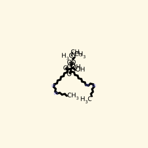 CCCCC/C=C\C/C=C\CCCCCCCC(=O)C(OP(=O)([O-])OCC[N+](C)(C)C)(C(=O)CCCCCCC/C=C\C/C=C\CCCCC)[C@@H](O)CO